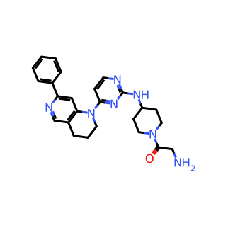 NCC(=O)N1CCC(Nc2nccc(N3CCCc4cnc(-c5ccccc5)cc43)n2)CC1